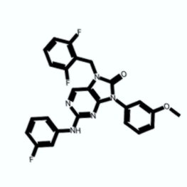 COc1cccc(-n2c(=O)n(Cc3c(F)cccc3F)c3cnc(Nc4cccc(F)c4)nc32)c1